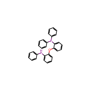 c1ccc(Pc2ccccc2Oc2ccccc2P(c2ccccc2)c2ccccc2)cc1